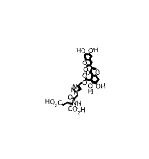 O=C(O)CC[C@H](NC(=O)Cn1cc(COC(=O)c2c(O)c(O)cc3occ(-c4cc5cc(O)c(O)cc5oc4=O)c(=O)c23)nn1)C(=O)O